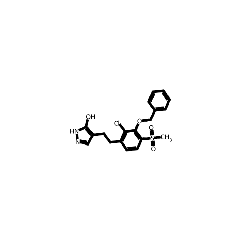 CS(=O)(=O)c1ccc(CCc2cn[nH]c2O)c(Cl)c1OCc1ccccc1